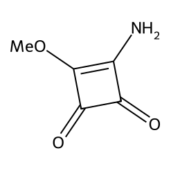 COc1c(N)c(=O)c1=O